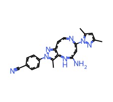 Cc1cc(C)n(-c2cc(N)[nH]c3c(C)n(-c4ccc(C#N)cc4)nc3ccn2)n1